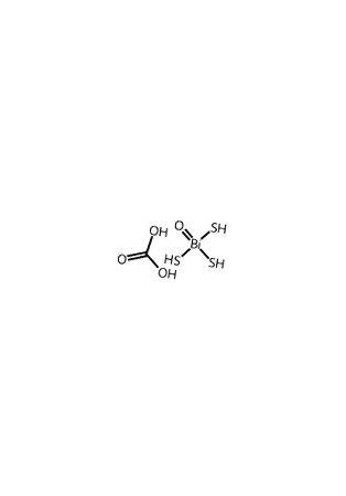 O=C(O)O.[O]=[Bi]([SH])([SH])[SH]